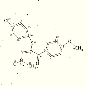 COc1ccc(C(=O)/C(=C\N(C)C)Sc2ccc(Cl)cc2)cn1